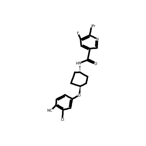 CC(C)c1ncc(C(=O)N[C@H]2CC[C@H](Oc3ccc(C#N)c(Cl)c3)CC2)cc1F